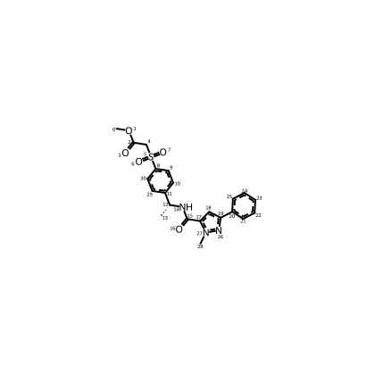 COC(=O)CS(=O)(=O)c1ccc([C@@H](C)NC(=O)c2cc(-c3ccccc3)nn2C)cc1